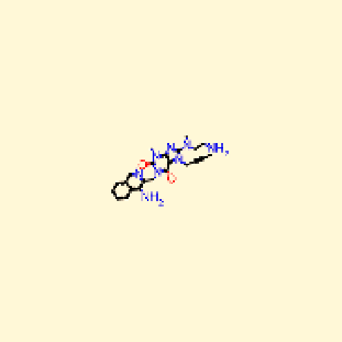 CC#CCn1c(N(C)CCN)nc2c1c(=O)n(Cc1ncc3ccccc3c1N)c(=O)n2C